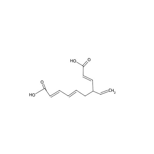 C=CC(C=CC(=O)O)CC=CC=CC(=O)O